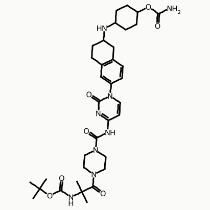 CC(C)(C)OC(=O)NC(C)(C)C(=O)N1CCN(C(=O)Nc2ccn(-c3ccc4c(c3)CCC(NC3CCC(OC(N)=O)CC3)C4)c(=O)n2)CC1